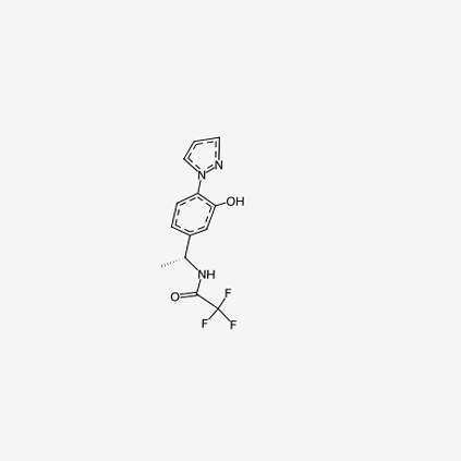 C[C@@H](NC(=O)C(F)(F)F)c1ccc(-n2cccn2)c(O)c1